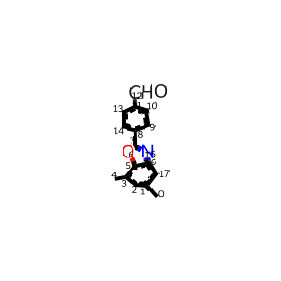 Cc1cc(C)c2oc(-c3ccc(C=O)cc3)nc2c1